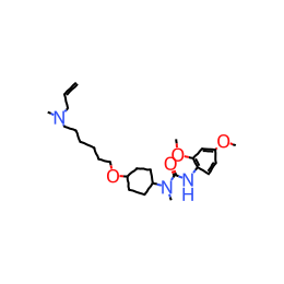 C=CCN(C)CCCCCCOC1CCC(N(C)C(=O)Nc2ccc(OC)cc2OC)CC1